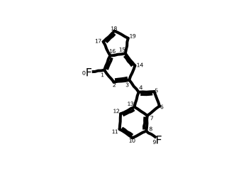 Fc1cc(C2=CCc3c(F)cccc32)cc2c1C=CC2